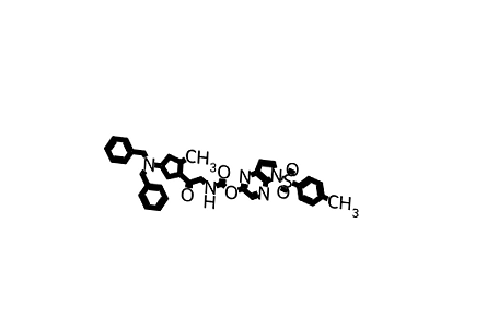 Cc1ccc(S(=O)(=O)n2ccc3nc(OC(=O)NCC(=O)C4CC(N(Cc5ccccc5)Cc5ccccc5)CC4C)cnc32)cc1